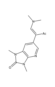 CC(=O)C(=CN(C)C)c1cnc2c(c1)n(C)c(=O)n2C